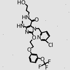 CNc1nc(OCCOc2cccc(OC(F)(F)F)c2)n(Cc2ccc(Cl)cn2)c1C(=O)NCCCO